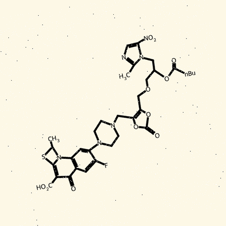 CCCCC(=O)OC(COCc1oc(=O)oc1CN1CCN(c2cc3c(cc2F)c(=O)c(C(=O)O)c2n3C(C)S2)CC1)Cn1c([N+](=O)[O-])cnc1C